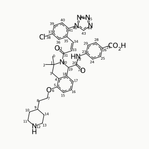 CC1(C)Cc2c(OCCC3CCNCC3)cccc2C(C(=O)Nc2ccc(C(=O)O)cc2)N1C(=O)C=Cc1cc(Cl)ccc1-n1cnnn1